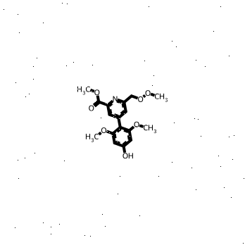 COOCc1cc(-c2c(OC)cc(O)cc2OC)cc(C(=O)OC)n1